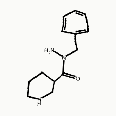 NN(Cc1ccccc1)C(=O)C1CCCNC1